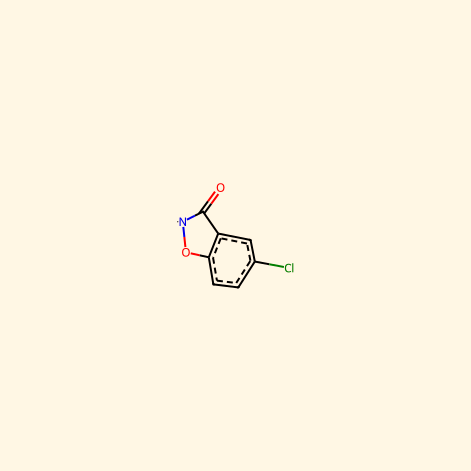 O=C1[N]Oc2ccc(Cl)cc21